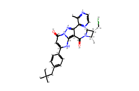 Cc1nccnc1-c1nn2c(=O)cc(-c3ccc(CC(C)(C)C)cc3)[nH]c2c1C(=O)N1C[C@H](CF)[C@@H]1C